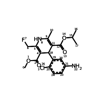 COC(=O)C1=C(CF)NC(C)=C(C(=O)OC(C)C)C1c1cc(N)ccc1Cl